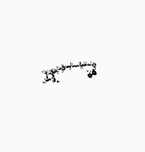 Cc1c(COc2ncnc(NCCNC(=O)CCC(=O)NCCCCCNC(=O)CCSC3CC(=O)N(CCNC(=O)CCC(C(=O)O)N4CCN(CC(=O)O)CCN(CC(=O)O)CCN(CC(=O)O)CC4)C3=O)n2)cccc1-c1ccccc1